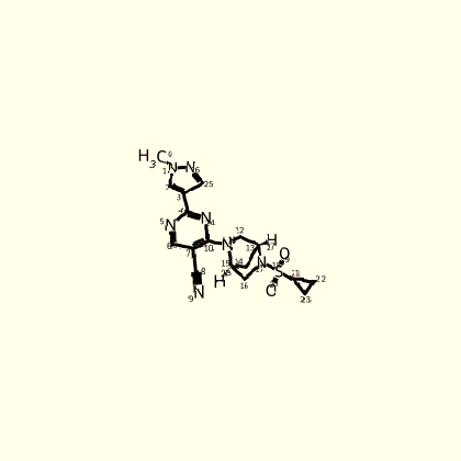 Cn1cc(-c2ncc(C#N)c(N3C[C@H]4C[C@H]3CN4S(=O)(=O)C3CC3)n2)cn1